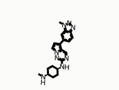 CN[C@H]1CC[C@@H](Nc2ncc3c(-c4ccc5nnn(C)c5c4)ccn3n2)CC1